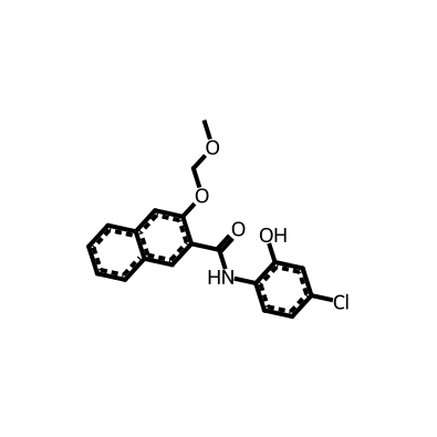 COCOc1cc2ccccc2cc1C(=O)Nc1ccc(Cl)cc1O